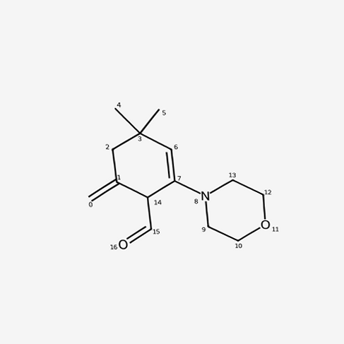 C=C1CC(C)(C)C=C(N2CCOCC2)C1C=O